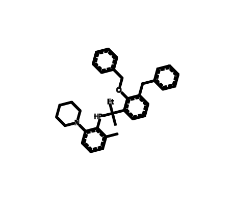 CCC(C)(Pc1c(C)cccc1N1CCCCC1)c1cccc(Cc2ccccc2)c1OCc1ccccc1